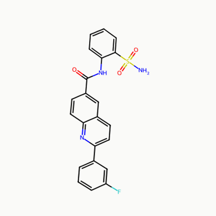 NS(=O)(=O)c1ccccc1NC(=O)c1ccc2nc(-c3cccc(F)c3)ccc2c1